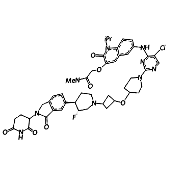 CNC(=O)COc1cc2cc(Nc3nc(N4CCC(OC5CC(N6CC[C@H](c7ccc8c(c7)C(=O)N(C7CCC(=O)NC7=O)C8)[C@@H](F)C6)C5)CC4)ncc3Cl)ccc2n(C(C)C)c1=O